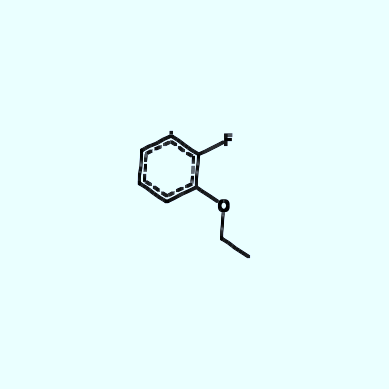 CCOc1ccc[c]c1F